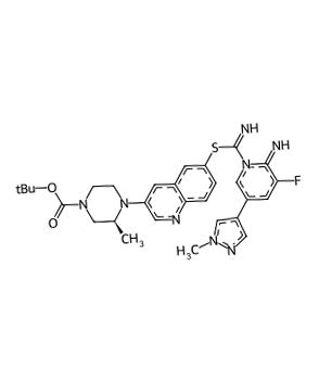 C[C@H]1CN(C(=O)OC(C)(C)C)CCN1c1cnc2ccc(SC(=N)n3cc(-c4cnn(C)c4)cc(F)c3=N)cc2c1